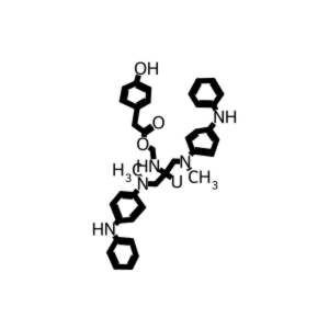 CN(C[C]([U])(CN(C)c1ccc(Nc2ccccc2)cc1)NCOC(=O)Cc1ccc(O)cc1)c1ccc(Nc2ccccc2)cc1